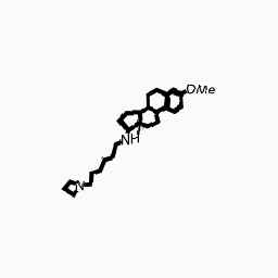 COc1ccc2c(c1)CCC1C2CC[C@]2(C)C(NCCCCCCN3CCC3)CCC12